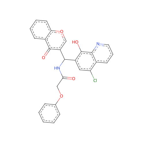 O=C(COc1ccccc1)NC(c1cc(Cl)c2cccnc2c1O)c1coc2ccccc2c1=O